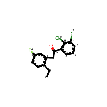 CCc1ccc(F)cc1CC(=O)c1cccc(Cl)c1Cl